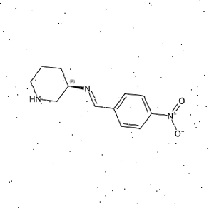 O=[N+]([O-])c1ccc(C=N[C@@H]2CCCNC2)cc1